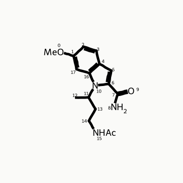 COc1ccc2cc(C(N)=O)n(C(C)CCNC(C)=O)c2c1